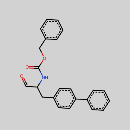 O=CC(Cc1ccc(-c2ccccc2)cc1)NC(=O)OCc1ccccc1